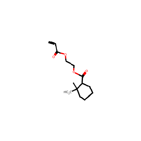 C=CC(=O)OCCOC(=O)C1CCCCC1(C)C(=O)O